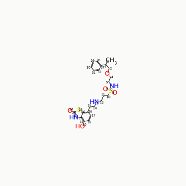 C[C@@H](COCCNS(=O)(=O)CCCNCCc1ccc(O)c2[nH]c(=O)sc12)c1ccccc1